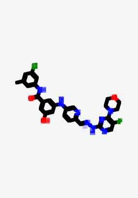 Cc1cc(Cl)cc(NC(=O)c2cc(O)cc(Nc3ccc(/C=N/Nc4ncc(F)c(N5CCOCC5)n4)nc3)c2)c1